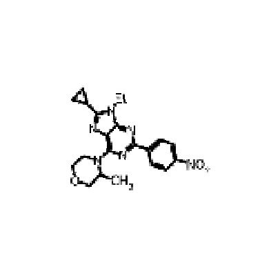 CCn1c(C2CC2)nc2c(N3CCOCC3C)nc(-c3ccc([N+](=O)[O-])cc3)nc21